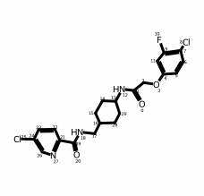 O=C(COc1ccc(Cl)c(F)c1)NC1CCC(CNC(=O)c2ccc(Cl)cn2)CC1